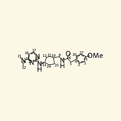 COc1ccc(CC(=O)NCC2CCC(Nc3nccc(N(C)C)n3)CC2)cc1